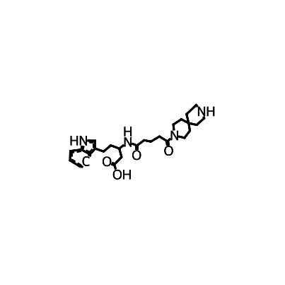 O=C(O)CC(CCc1c[nH]c2ccccc12)NC(=O)CCCC(=O)N1CCC2(CCNCC2)CC1